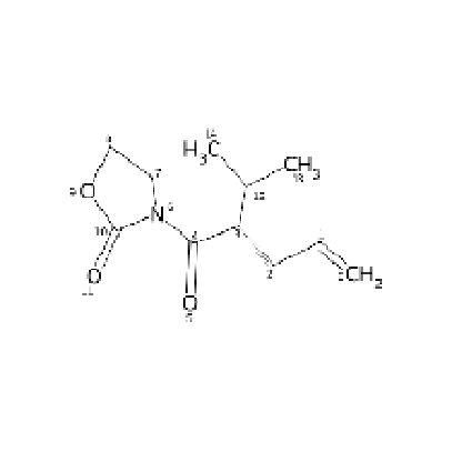 C=CC[C@H](C(=O)N1CCOC1=O)C(C)C